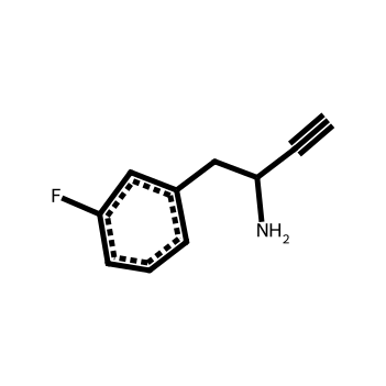 C#CC(N)Cc1cccc(F)c1